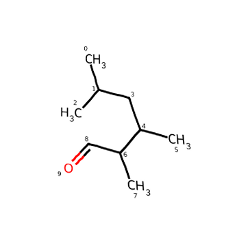 CC(C)CC(C)C(C)C=O